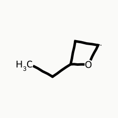 CCC1C[CH]O1